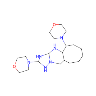 C1CCC2CN3NC(N4CCOCC4)NC3NC2C(N2CCOCC2)CC1